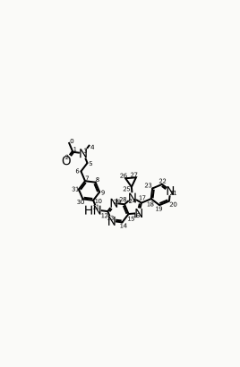 CC(=O)N(C)CCc1ccc(Nc2ncc3nc(-c4ccncc4)n(C4CC4)c3n2)cc1